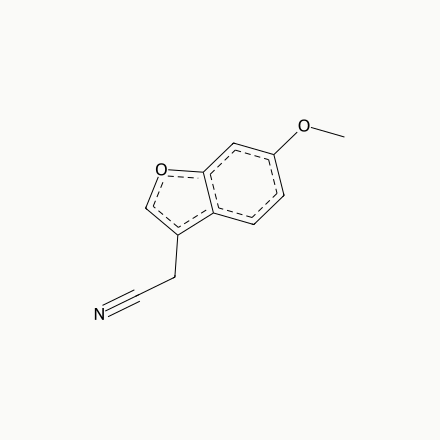 COc1ccc2c(CC#N)coc2c1